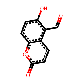 O=Cc1c(O)ccc2oc(=O)ccc12